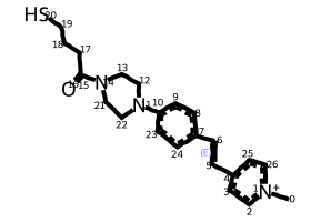 C[n+]1ccc(/C=C/c2ccc(N3CCN(C(=O)CCCS)CC3)cc2)cc1